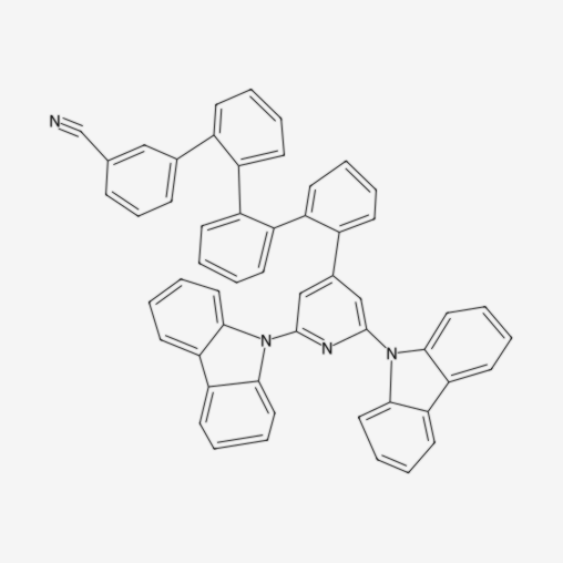 N#Cc1cccc(-c2ccccc2-c2ccccc2-c2ccccc2-c2cc(-n3c4ccccc4c4ccccc43)nc(-n3c4ccccc4c4ccccc43)c2)c1